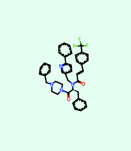 O=C([C@H](Cc1ccccc1)N(Cc1ccc(-c2ccccc2)nc1)C(=O)/C=C/c1ccc(C(F)(F)F)cc1)N1CCN(Cc2ccccc2)CC1